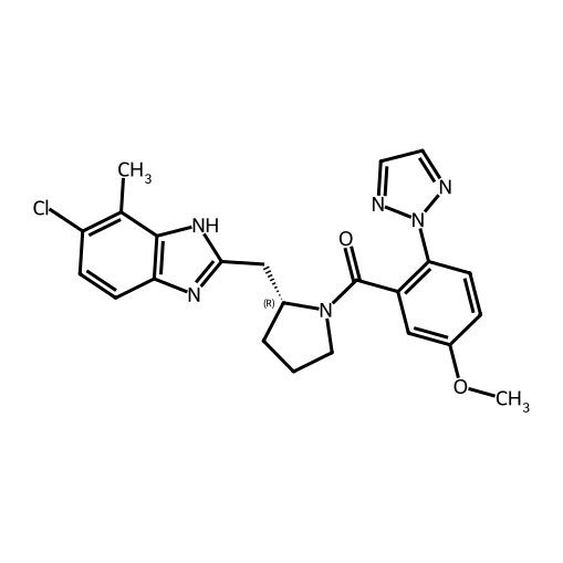 COc1ccc(-n2nccn2)c(C(=O)N2CCC[C@@H]2Cc2nc3ccc(Cl)c(C)c3[nH]2)c1